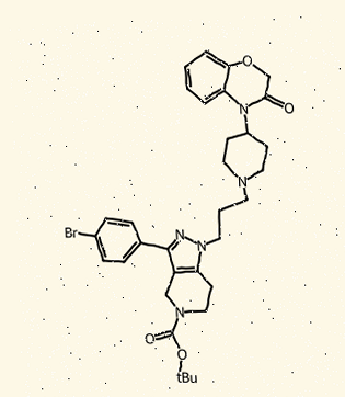 CC(C)(C)OC(=O)N1CCc2c(c(-c3ccc(Br)cc3)nn2CCCN2CCC(N3C(=O)COc4ccccc43)CC2)C1